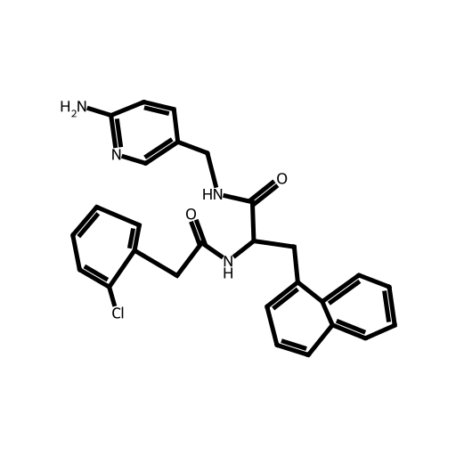 Nc1ccc(CNC(=O)C(Cc2cccc3ccccc23)NC(=O)Cc2ccccc2Cl)cn1